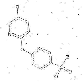 O=S(=O)(Cl)c1ccc(Oc2ccc(Cl)cn2)cc1